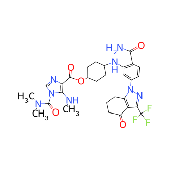 CNc1c(C(=O)OC2CCC(Nc3cc(-n4nc(C(F)(F)F)c5c4CCCC5=O)ccc3C(N)=O)CC2)ncn1C(=O)N(C)C